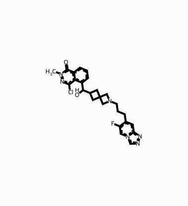 Cn1nc(Cl)c2c(C(O)C3CC4(C3)CN(CCCc3cc5nncn5cc3F)C4)cccc2c1=O